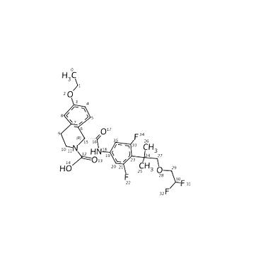 CCOc1ccc2c(c1)CCN(C(=O)O)[C@H]2C(=O)Nc1cc(F)c(C(C)(C)COCC(F)F)c(F)c1